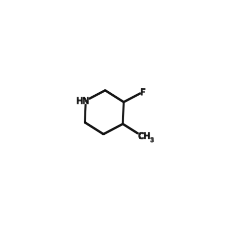 CC1CCNCC1F